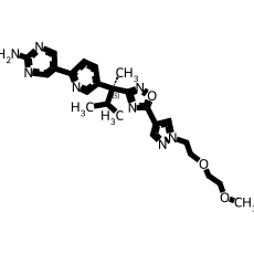 COCCOCCn1cc(-c2nc([C@](C)(c3ccc(-c4cnc(N)nc4)nc3)C(C)C)no2)cn1